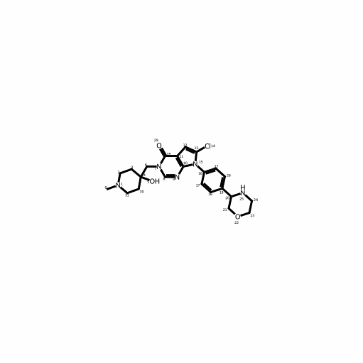 CN1CCC(O)(Cn2cnc3c(cc(Cl)n3-c3ccc(C4COCCN4)cc3)c2=O)CC1